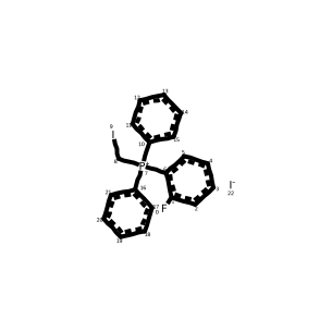 Fc1ccccc1[P+](CI)(c1ccccc1)c1ccccc1.[I-]